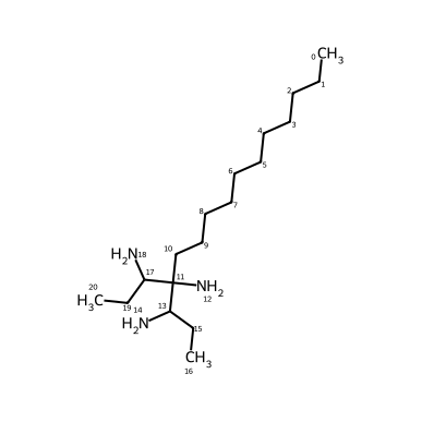 CCCCCCCCCCCC(N)(C(N)CC)C(N)CC